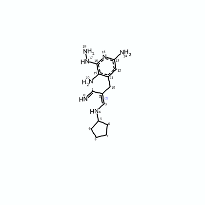 N=C/C(=C\NC1CCCC1)Cc1cc(N)nc(NN)c1N